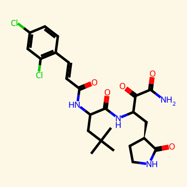 CC(C)(C)CC(NC(=O)/C=C/c1ccc(Cl)cc1Cl)C(=O)NC(C[C@@H]1CCNC1=O)C(=O)C(N)=O